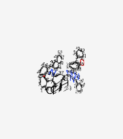 Cc1ccccc1-c1c(C)cc(-c2nc(-c3ccccc3)nc(-c3ccc4c(c3)oc3ccccc34)n2)cc1-n1c2ccc#cc2c2cc3ccccc3cc21